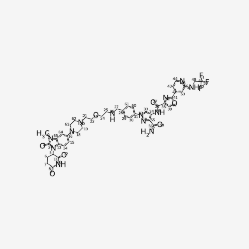 Cn1c(=O)n(C2CCC(=O)NC2=O)c2ccc(N3CCN(CCOCCNCc4ccc(-n5cc(NC(=O)c6coc(-c7ccnc(NCC(F)(F)F)c7)n6)c(C(N)=O)n5)cc4)CC3)cc21